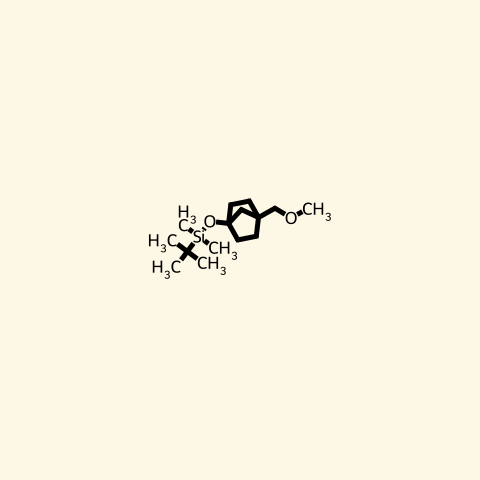 COCC12CCC(O[Si](C)(C)C(C)(C)C)(CC1)C2